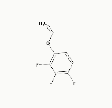 C=COc1ccc(F)c(F)c1F